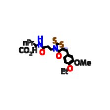 CCCC(NC(=O)CCN1C(=O)/C(=C\c2ccc(OCC)c(OC)c2)SC1=S)C(=O)O